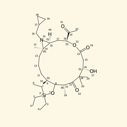 CC[Si](CC)(CC)OC1[C@@H](C)CCC[C@]2(C)[C@H](C[C@@H](C(C)=O)OC(=O)C[C@H](O)C(C)(C)C(=O)[C@@H]1C)N2CC1CC1